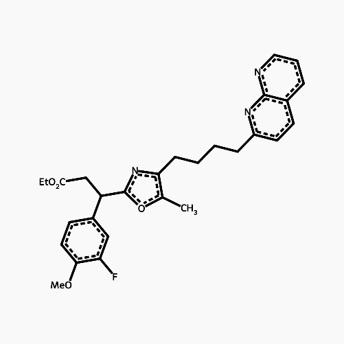 CCOC(=O)CC(c1ccc(OC)c(F)c1)c1nc(CCCCc2ccc3cccnc3n2)c(C)o1